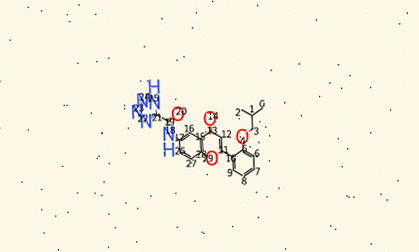 CC(C)COc1ccccc1-c1cc(=O)c2cc(NC(=O)c3nnn[nH]3)ccc2o1